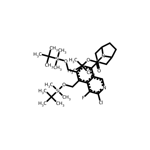 CC(C)(C)OC(=O)N1C2CCC1CN(c1nc(CO[Si](C)(C)C(C)(C)C)c(CO[Si](C)(C)C(C)(C)C)c3c(F)c(Cl)ncc13)C2